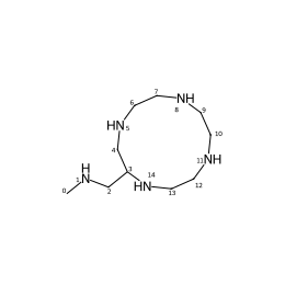 CNCC1CNCCNCCNCCN1